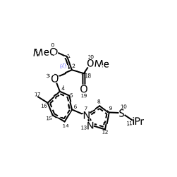 CO/C=C(\Oc1cc(-n2cc(SC(C)C)cn2)ccc1C)C(=O)OC